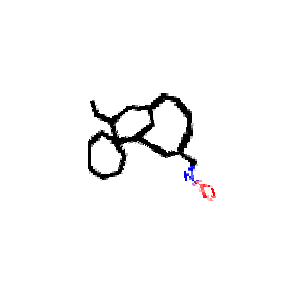 CCC1Cc2ccccc(CN=O)ccc(c2)C12CCCCCC2